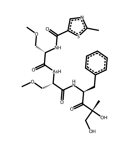 COC[C@H](NC(=O)c1cnc(C)s1)C(=O)[AsH][C@@H](COC)C(=O)N[C@@H](Cc1ccccc1)C(=O)[C@](C)(O)CO